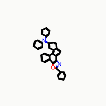 c1ccc(-c2nc3c4ccc5ccc(N(c6ccccc6)c6ccccc6)cc5c4c4ccccc4c3o2)cc1